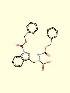 O=C(N[C@@H](Cc1cn(C(=O)OCc2ccccc2)c2ccccc12)C(=O)O)OCc1ccccc1